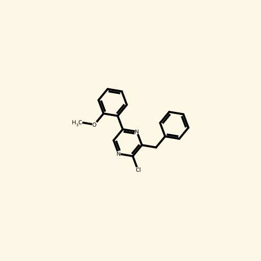 COc1ccccc1-c1cnc(Cl)c(Cc2ccccc2)n1